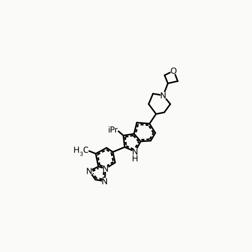 Cc1cc(-c2[nH]c3ccc(C4CCN(C5COC5)CC4)cc3c2C(C)C)cn2ncnc12